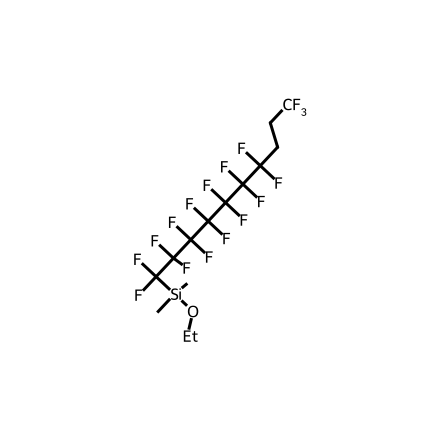 CCO[Si](C)(C)C(F)(F)C(F)(F)C(F)(F)C(F)(F)C(F)(F)C(F)(F)C(F)(F)CCC(F)(F)F